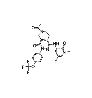 CC(=O)N1CCc2c(Nc3cc(F)cn(C)c3=O)nn(-c3ccc(OC(F)(F)F)cc3)c(=O)c2C1